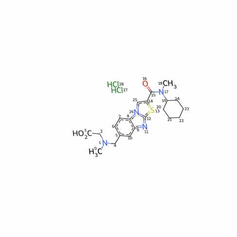 CN(CC(=O)O)Cc1ccc2c(c1)nc1sc(C(=O)N(C)C3CCCCC3)cn12.Cl.Cl